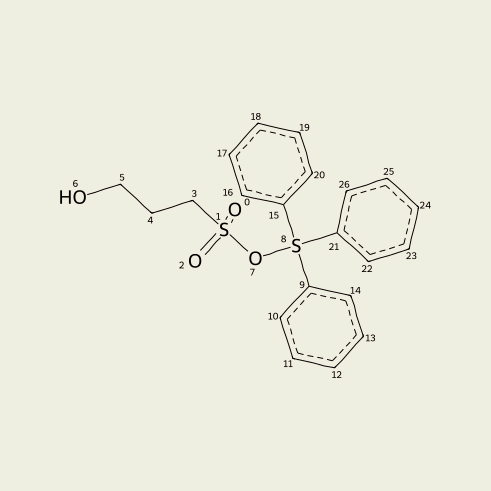 O=S(=O)(CCCO)OS(c1ccccc1)(c1ccccc1)c1ccccc1